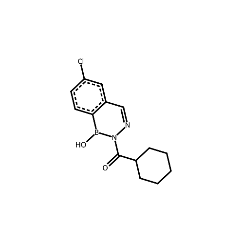 O=C(C1CCCCC1)N1N=Cc2cc(Cl)ccc2B1O